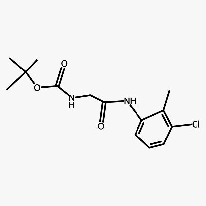 Cc1c(Cl)cccc1NC(=O)CNC(=O)OC(C)(C)C